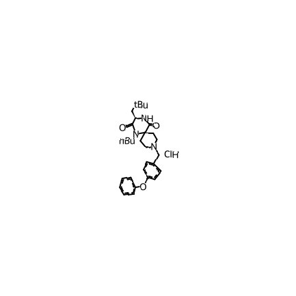 CCCCN1C(=O)[C@@H](CC(C)(C)C)NC(=O)C12CCN(Cc1ccc(Oc3ccccc3)cc1)CC2.Cl